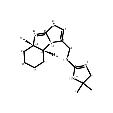 CC1(C)CN=C(SCC2=CSC3=N[C@H]4CCCC[C@H]4N23)N1